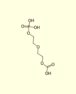 O=C(O)OCCOCCOP(=O)(O)O